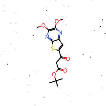 COc1nc2cc(C(=O)CC(=O)OC(C)(C)C)sc2nc1OC